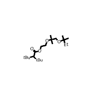 CCC(C)(C)OCC(C)(C)OCCOC(=O)C(C(C)(C)C)C(C)(C)C